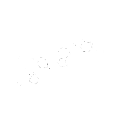 CC(=O)O[C@@H](C)c1ccc(-n2cnc3cc(Nc4ccc(C)nn4)ccc32)nc1-n1nc(C#N)cc1C